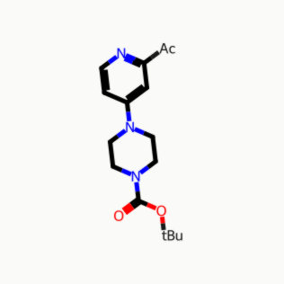 CC(=O)c1cc(N2CCN(C(=O)OC(C)(C)C)CC2)ccn1